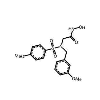 COc1ccc(S(=O)(=O)N(CC(=O)NO)Cc2cccc(OC)c2)cc1